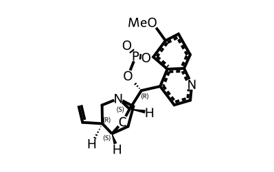 C=C[C@H]1CN2CC[C@H]1C[C@H]2[C@H](OP(=O)=O)c1ccnc2ccc(OC)cc12